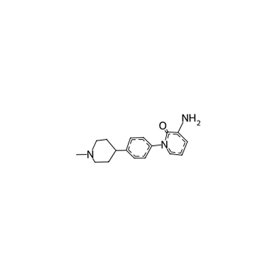 CN1CCC(c2ccc(-n3cccc(N)c3=O)cc2)CC1